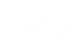 Cn1nnnc1Sc1sc(NC(=O)Nc2ncccc2C(=O)C2CCCC2)nc1C(=O)O